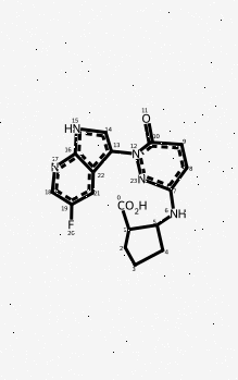 O=C(O)C1CCCC1Nc1ccc(=O)n(-c2c[nH]c3ncc(F)cc23)n1